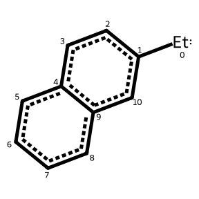 C[C]c1ccc2ccccc2c1